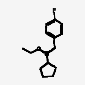 CCON(Cc1ccc(F)cc1)C1CCCC1